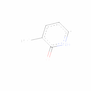 Cc1[c]cc[nH]c1=O